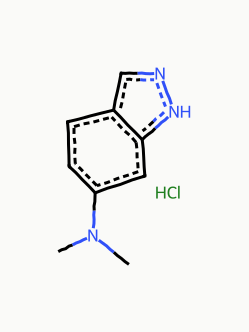 CN(C)c1ccc2cn[nH]c2c1.Cl